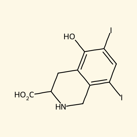 O=C(O)C1Cc2c(O)c(I)cc(I)c2CN1